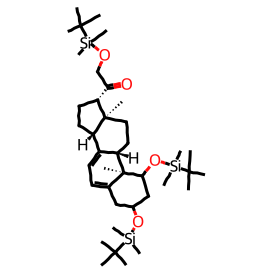 CC(C)(C)[Si](C)(C)OCC(=O)[C@H]1CC[C@H]2C3=CC=C4CC(O[Si](C)(C)C(C)(C)C)CC(O[Si](C)(C)C(C)(C)C)[C@]4(C)[C@H]3CC[C@]12C